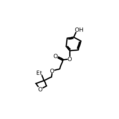 CCC1(COCC(=O)Oc2ccc(O)cc2)COC1